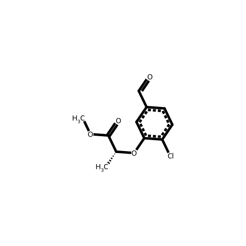 COC(=O)[C@@H](C)Oc1cc(C=O)ccc1Cl